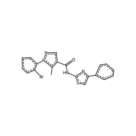 Cc1c(C(=O)Nc2nc(-c3ccccc3)cs2)cnn1-c1ccccc1Br